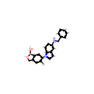 OB1OCc2cc(F)c(-n3ccc4cc(NCc5ccccc5)ccc43)cc21